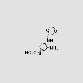 Nc1cc(NC(=O)O)ccc1NCC1COCCO1